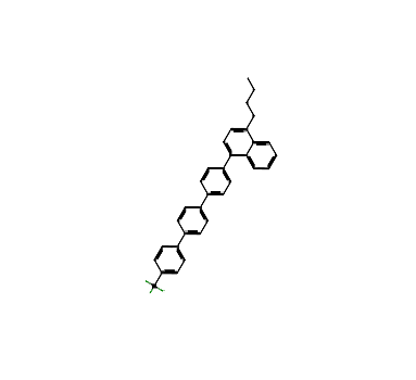 CCCCc1ccc(-c2ccc(-c3ccc(-c4ccc(C(F)(F)F)cc4)cc3)cc2)c2ccccc12